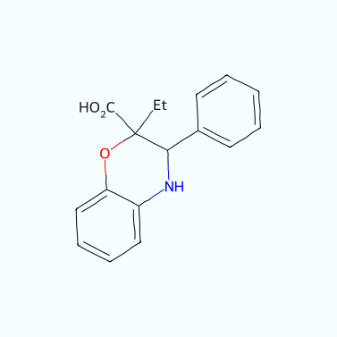 CCC1(C(=O)O)Oc2ccccc2NC1c1ccccc1